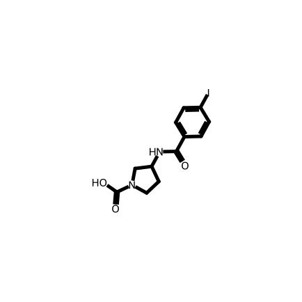 O=C(NC1CCN(C(=O)O)C1)c1ccc(I)cc1